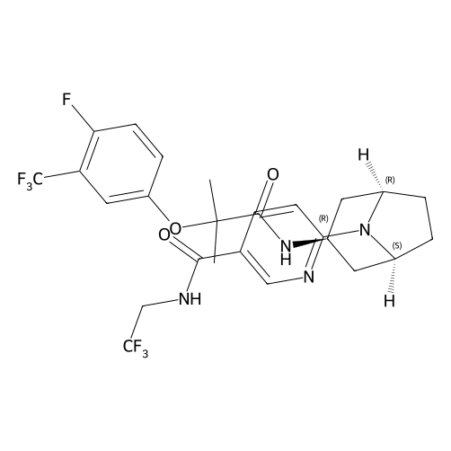 CC(C)(Oc1ccc(F)c(C(F)(F)F)c1)C(=O)N[C@H]1C[C@H]2CC[C@@H](C1)N2c1ccc(C(=O)NCC(F)(F)F)cn1